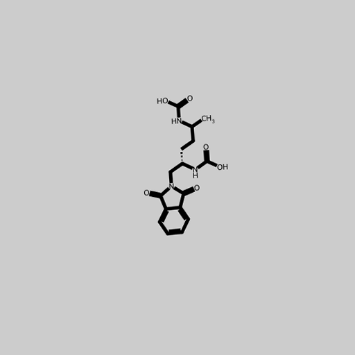 CC(CC[C@@H](CN1C(=O)c2ccccc2C1=O)NC(=O)O)NC(=O)O